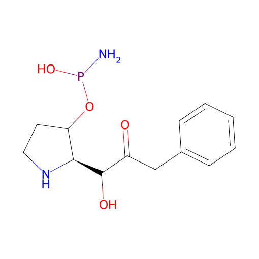 NP(O)OC1CCN[C@@H]1C(O)C(=O)Cc1ccccc1